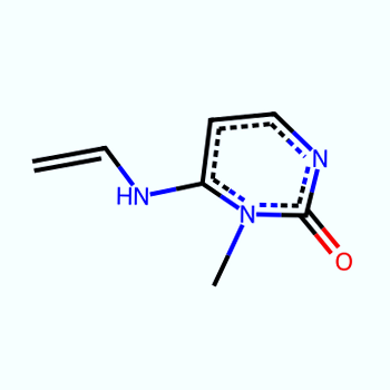 C=CNc1ccnc(=O)n1C